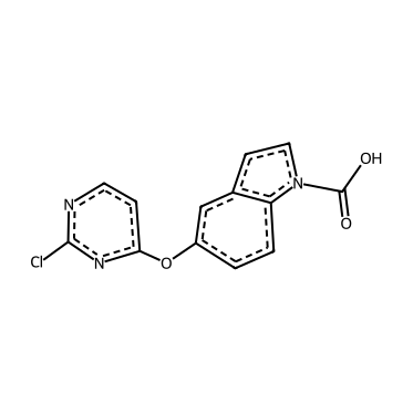 O=C(O)n1ccc2cc(Oc3ccnc(Cl)n3)ccc21